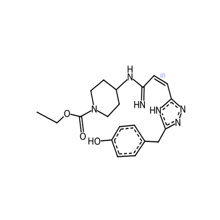 CCOC(=O)N1CCC(NC(=N)/C=C\c2nnc(Cc3ccc(O)cc3)[nH]2)CC1